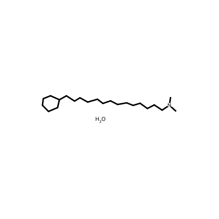 CN(C)CCCCCCCCCCCCCCC1CCCCC1.O